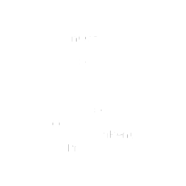 CCCCCCCCOCC(OCCC)OCCCCC